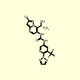 C[C@@H](O)c1c(NC(=O)Nc2cnc(-n3nccn3)c(C(F)(F)F)c2)cnc2cc(Cl)nn12